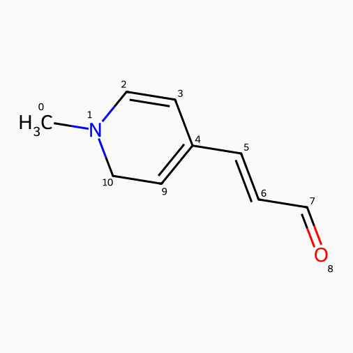 CN1C=CC(C=CC=O)=CC1